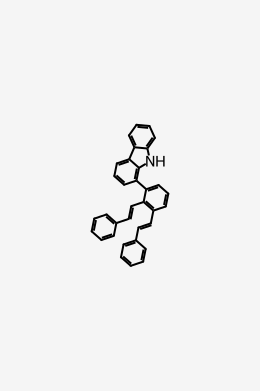 C(=Cc1cccc(-c2cccc3c2[nH]c2ccccc23)c1C=Cc1ccccc1)c1ccccc1